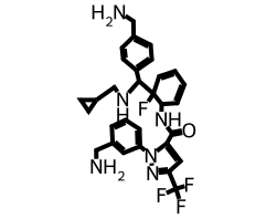 NCc1ccc(C(NCC2CC2)C2(F)C=CC=CC2NC(=O)c2cc(C(F)(F)F)nn2-c2cccc(CN)c2)cc1